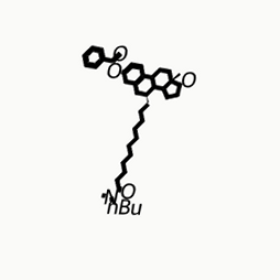 CCCCN(C)C(=O)CCCCCCCCCC[C@@H]1CC2=C(C=C=C(OC(=O)c3ccccc3)C2)C2CC[C@]3(C)C(=O)CCC3C21